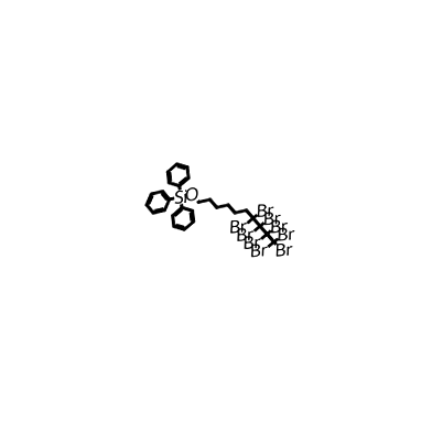 BrC(Br)(Br)C(Br)(Br)C(Br)(Br)C(Br)(Br)CCCCCCO[Si](c1ccccc1)(c1ccccc1)c1ccccc1